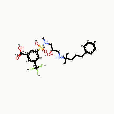 CN(CC(O)CNC(C)(C)CCCc1ccccc1)S(=O)(=O)c1cc(C(=O)O)cc(C(F)(F)F)c1